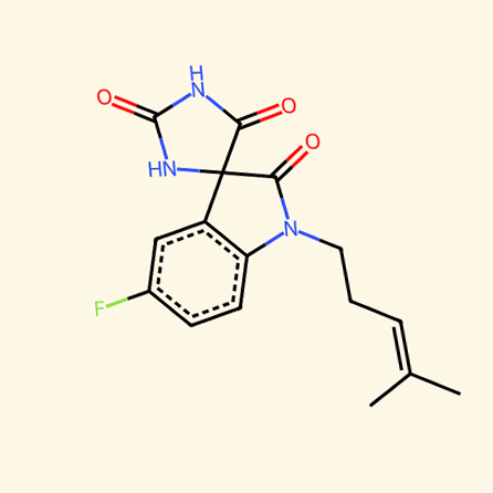 CC(C)=CCCN1C(=O)C2(NC(=O)NC2=O)c2cc(F)ccc21